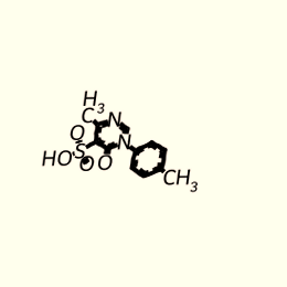 Cc1ccc(-n2cnc(C)c(S(=O)(=O)O)c2=O)cc1